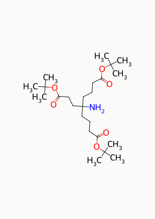 CC(C)(C)OC(=O)CCCC(N)(CCCC(=O)OC(C)(C)C)CCC(=O)OC(C)(C)C